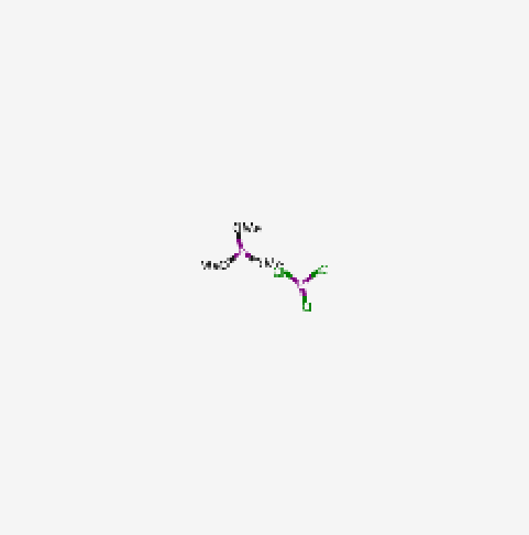 COP(OC)OC.ClP(Cl)Cl